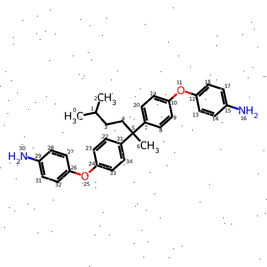 CC(C)CCC(C)(c1ccc(Oc2ccc(N)cc2)cc1)c1ccc(Oc2ccc(N)cc2)cc1